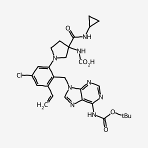 C=Cc1cc(Cl)cc(N2CCC(NC(=O)O)(C(=O)NC3CC3)C2)c1Cn1cnc2c(NC(=O)OC(C)(C)C)ncnc21